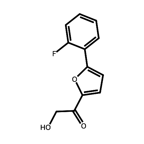 O=C(CO)c1ccc(-c2ccccc2F)o1